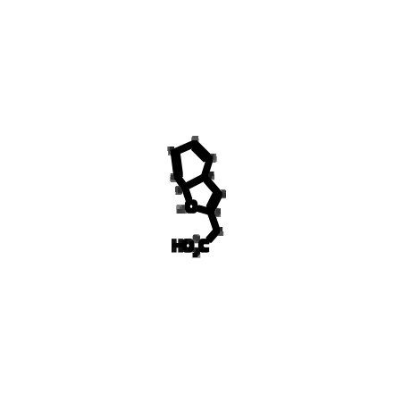 O=C(O)CC1=CC2C=CC=CC2O1